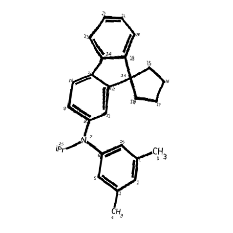 Cc1cc(C)cc(N(c2ccc3c(c2)C2(CCCC2)c2ccccc2-3)C(C)C)c1